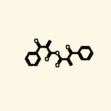 C=C(C(=O)OC(=O)C(=C)C(=O)c1ccccc1)C(=O)c1ccccc1